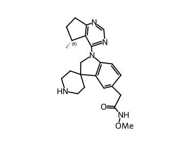 CONC(=O)Cc1ccc2c(c1)C1(CCNCC1)CN2c1ncnc2c1[C@H](C)CC2